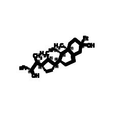 CCC[C@@H](O)[C@@H](C)[C@H]1CC[C@@H]([C@@H]2CC=C3C[C@](O)(CC)CC[C@]3(C)[C@H]2CCC)[C@H]1C